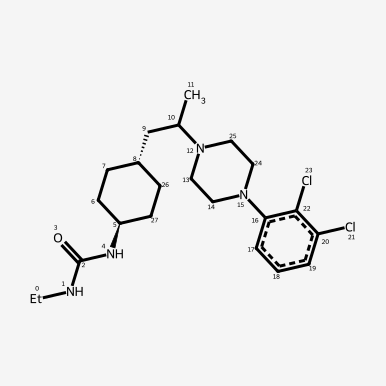 CCNC(=O)N[C@H]1CC[C@H](CC(C)N2CCN(c3cccc(Cl)c3Cl)CC2)CC1